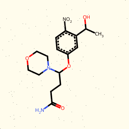 CC(O)c1cc(OC(CCC(N)=O)N2CCOCC2)ccc1[N+](=O)[O-]